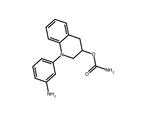 NC(=O)OC1Cc2ccccc2N(c2cccc(N)c2)C1